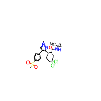 Cn1cc(-c2ccc(S(C)(=O)=O)cc2)c([C@@H]2CCC(Cl)(Cl)C[C@H]2C(=O)NC2(C#N)CC2)n1